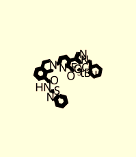 CC(C)(C)OC(=O)c1nc(N2CCc3cccc(C(=O)Nc4nc5ccccc5s4)c3C2)ccc1-c1cnn(CC2(C(F)(F)F)CCCCC2)c1